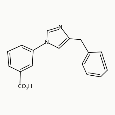 O=C(O)c1cccc(-n2cnc(Cc3ccccc3)c2)c1